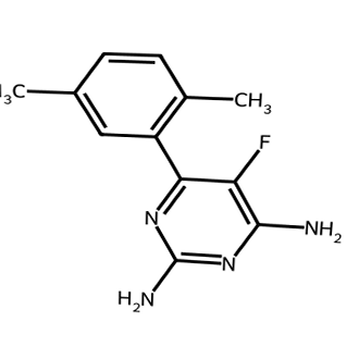 Cc1ccc(C)c(-c2nc(N)nc(N)c2F)c1